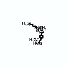 CCCCCCCNC(=O)N(C)c1nc(-c2ccc(C[C@H](OCC)C(=O)O)cc2)cs1